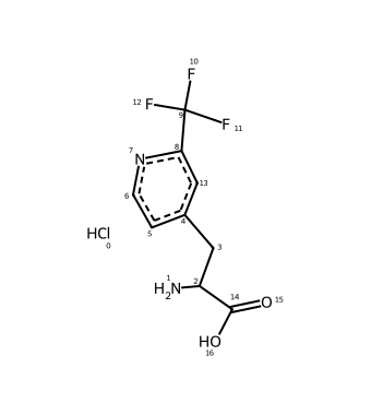 Cl.NC(Cc1ccnc(C(F)(F)F)c1)C(=O)O